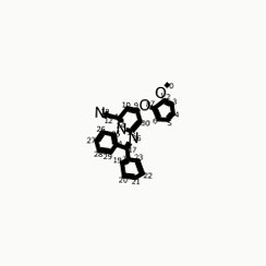 COc1ccccc1Oc1cc(C#N)nc(N=C(c2ccccc2)c2ccccc2)c1